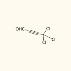 O=CC#CC(Cl)(Cl)Cl